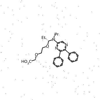 CC[C@@H](OCCOCC(=O)O)N(c1cnc(-c2ccccc2)c(-c2ccccc2)n1)C(C)C